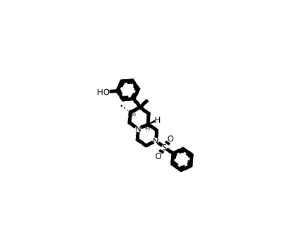 C[C@H]1CN2CCN(S(=O)(=O)c3ccccc3)C[C@H]2CC1(C)c1cccc(O)c1